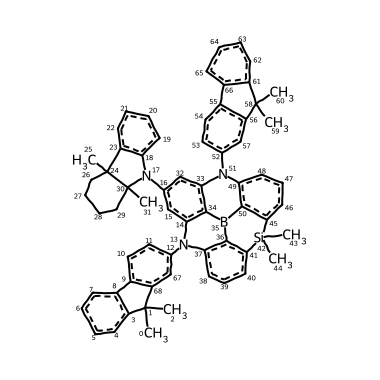 CC1(C)c2ccccc2-c2ccc(N3c4cc(N5c6ccccc6C6(C)CCCCC56C)cc5c4B4c6c3cccc6[Si](C)(C)c3cccc(c34)N5c3ccc4c(c3)C(C)(C)c3ccccc3-4)cc21